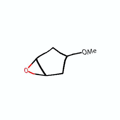 COC1CC2OC2C1